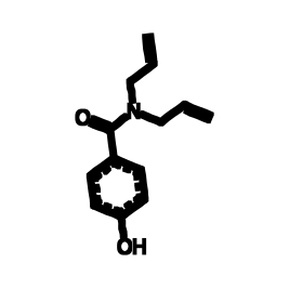 C=CCN(CC=C)C(=O)c1ccc(O)cc1